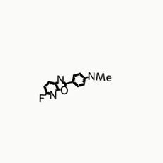 CNc1ccc(-c2nc3ccc(F)nc3o2)cc1